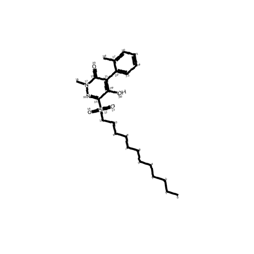 CCCCCCCCCCCCS(=O)(=O)c1nn(C)c(=O)c(-c2ccccc2C)c1O